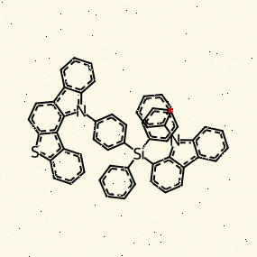 c1ccc(-n2c3ccccc3c3cccc([Si](c4ccccc4)(c4ccccc4)c4ccc(-n5c6ccccc6c6ccc7sc8ccccc8c7c65)cc4)c32)cc1